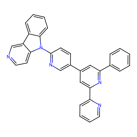 c1ccc(-c2cc(-c3ccc(-n4c5ccccc5c5cnccc54)nc3)cc(-c3ccccn3)n2)cc1